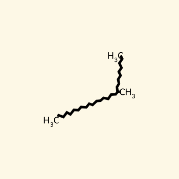 CCCCCCCCCCCCCCCCCC(C)CCCCCCCCC